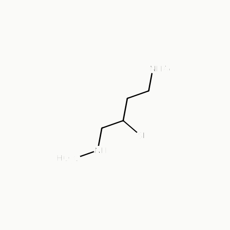 CC(=O)NCCC(S)CNC(=O)O